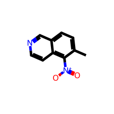 Cc1ccc2cnccc2c1[N+](=O)[O-]